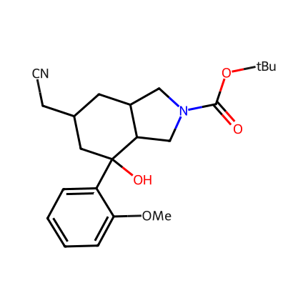 COc1ccccc1C1(O)CC(CC#N)CC2CN(C(=O)OC(C)(C)C)CC21